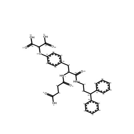 O=C(O)CCC(=O)NC(Cc1ccc(OC(C(=O)O)C(=O)O)cc1)C(=O)NCCC(c1ccccc1)c1ccccc1